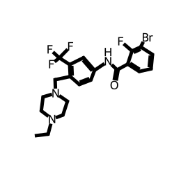 CCN1CCN(Cc2ccc(NC(=O)c3cccc(Br)c3F)cc2C(F)(F)F)CC1